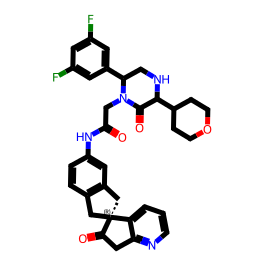 O=C(CN1C(=O)C(C2CCOCC2)NCC1c1cc(F)cc(F)c1)Nc1ccc2c(c1)C[C@@]1(C2)C(=O)Cc2ncccc21